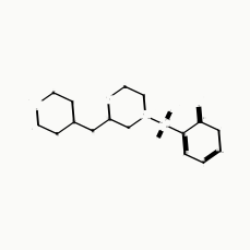 O=S(=O)(C1=CC=CCC1=S)N1CCNC(CC2CCOCC2)C1